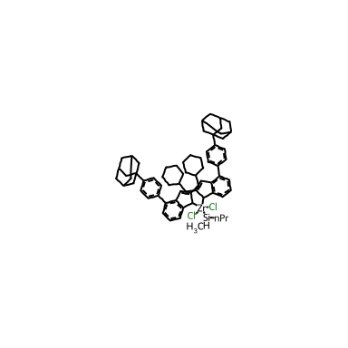 CCC[SiH](C)[Zr]([Cl])([Cl])([CH]1C(CC2CCCCC2)=Cc2c(-c3ccc(C45CC6CC(CC(C6)C4)C5)cc3)cccc21)[CH]1C(CC2CCCCC2)=Cc2c(-c3ccc(C45CC6CC(CC(C6)C4)C5)cc3)cccc21